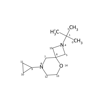 CC(C)(C)N1CC2(CN(C3CC3)CCO2)C1